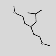 COCCN(CCOC)C[C](C)C